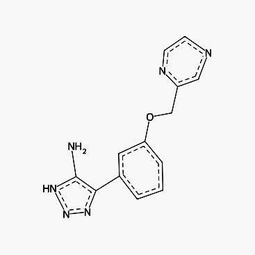 Nc1[nH]nnc1-c1cccc(OCc2cnccn2)c1